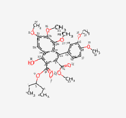 CCC(CC)OC(=O)c1c(C(=O)OC)c(-c2ccc(OC)c(OC)c2)c2c(OC)c(OC)c(OC)cc2c1O